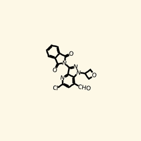 O=Cc1cc(Cl)nc2c(N3C(=O)c4ccccc4C3=O)nn(C3COC3)c12